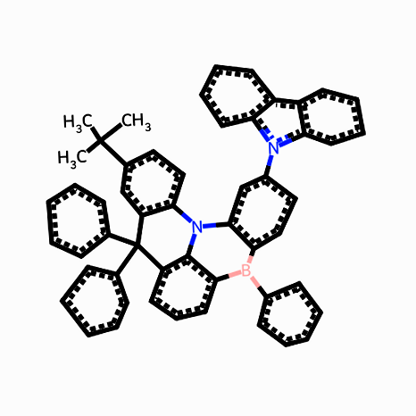 CC(C)(C)c1ccc2c(c1)C(c1ccccc1)(c1ccccc1)c1cccc3c1N2c1cc(-n2c4ccccc4c4ccccc42)ccc1B3c1ccccc1